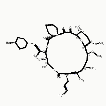 C/C=C/C[C@@H]1/C=C(\C)C[C@H](C)C[C@H](OC)[C@H]2O[C@@](O)(C(=O)C(=O)N3CCCC[C@H]3C(=O)O[C@H](/C(C)=C/[C@H]3CC[C@H](O)CC3)[C@H](C)[C@@H](O)CC1=N)[C@H](C)C[C@@H]2OC